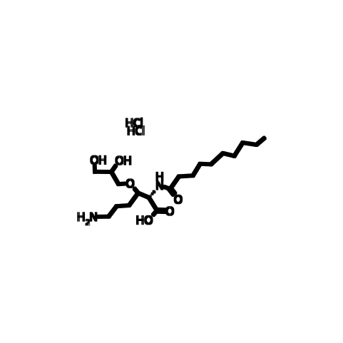 CCCCCCCCCC(=O)N[C@H](C(=O)O)C(CCCN)OCC(O)CO.Cl.Cl